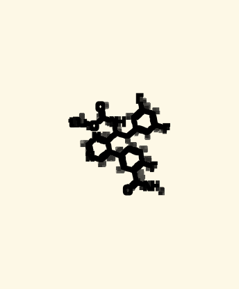 CC(C)(C)OC(=O)NC(Cc1cc(F)cc(F)c1)c1ncncc1-c1ccc(F)c(C(N)=O)c1